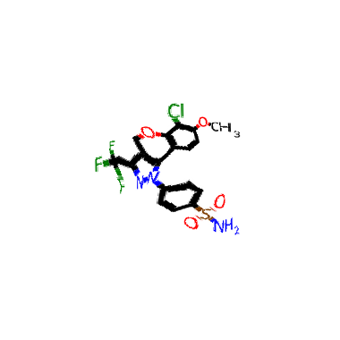 COc1ccc2c(c1Cl)OCc1c(C(F)(F)F)nn(-c3ccc(S(N)(=O)=O)cc3)c1-2